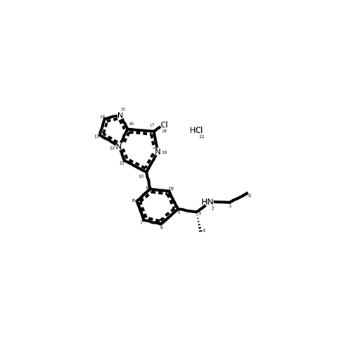 CCN[C@H](C)c1cccc(-c2cn3ccnc3c(Cl)n2)c1.Cl